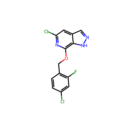 Fc1cc(Cl)ccc1COc1nc(Cl)cc2cn[nH]c12